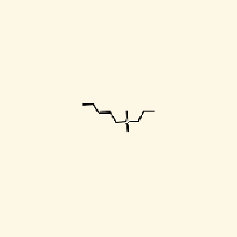 CCC=CC[Si](C)(C)CCC